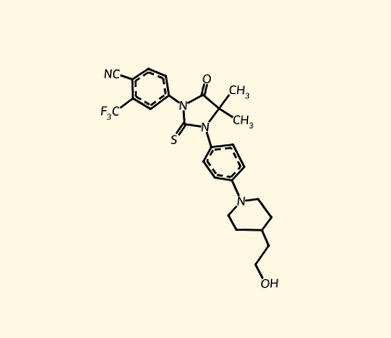 CC1(C)C(=O)N(c2ccc(C#N)c(C(F)(F)F)c2)C(=S)N1c1ccc(N2CCC(CCO)CC2)cc1